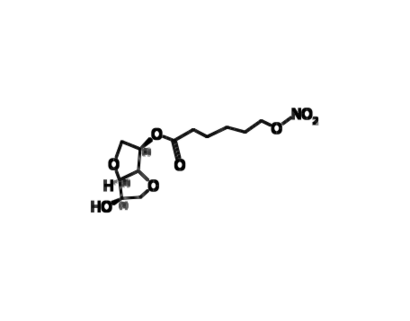 O=C(CCCCCO[N+](=O)[O-])O[C@@H]1CO[C@H]2C1OC[C@H]2O